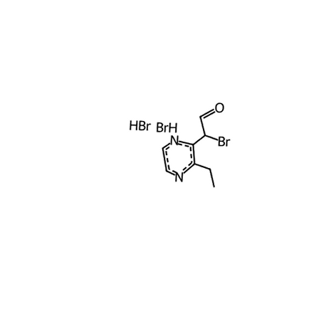 Br.Br.CCc1nccnc1C(Br)C=O